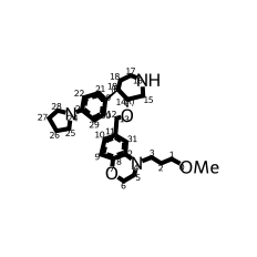 COCCCN1CCOc2ccc(CO[C@H]3CNCC[C@@H]3c3ccc(N4CCCC4)cc3)cc21